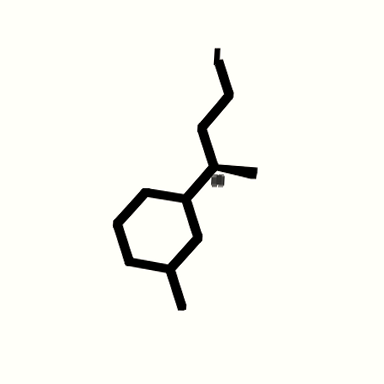 CC1CCCC([C@H](C)CCI)C1